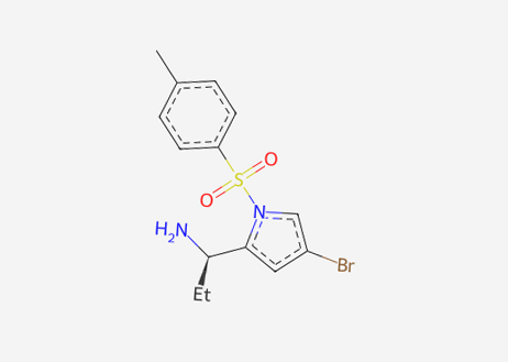 CC[C@@H](N)c1cc(Br)cn1S(=O)(=O)c1ccc(C)cc1